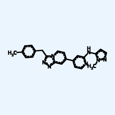 Cc1ccc(Cc2nnc3cc(-c4ccnc(Nc5ccnn5C)c4)ccn23)cc1